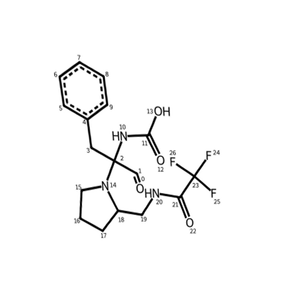 O=CC(Cc1ccccc1)(NC(=O)O)N1CCCC1CNC(=O)C(F)(F)F